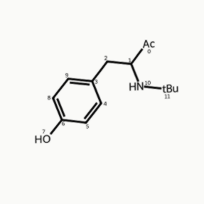 CC(=O)C(Cc1ccc(O)cc1)NC(C)(C)C